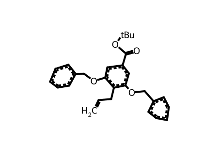 C=CCc1c(OCc2ccccc2)cc(C(=O)OC(C)(C)C)cc1OCc1ccccc1